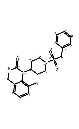 Cc1cccc2c1N(C1CCN(S(=O)(=O)Cc3ccccc3)CC1)C(=O)OC2